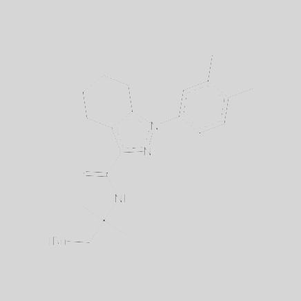 Cc1ccc(-n2nc(C(=O)NC(C)(C)CC(C)(C)C)c3c2CCCC3)cc1C